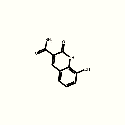 NC(=O)c1cc2cccc(O)c2[nH]c1=O